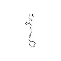 CCOC(=O)CCCC#CCc1ccccc1